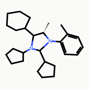 Cc1ccccc1N1C(C2CCCC2)N(C2CCCC2)C(C2CCCCC2)[C@@H]1C